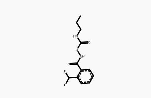 CCCNC(=O)ONC(=O)c1ccccc1C(F)F